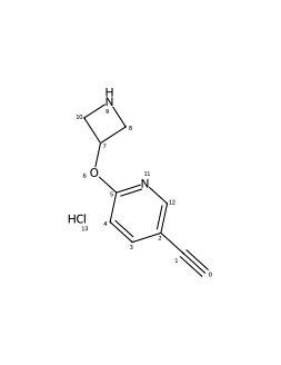 C#Cc1ccc(OC2CNC2)nc1.Cl